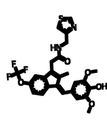 COc1cc(C=C2C(C)=C(CC(=O)NCc3cscn3)c3cc(OC(F)(F)F)ccc32)cc(OC)c1O